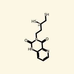 O=c1[nH]c2cccnc2c(=O)n1CC[C@@H](S)CS